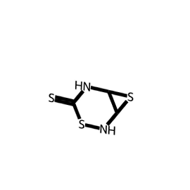 S=C1NC2SC2NS1